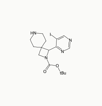 CC(C)(C)OC(=O)N1CC2(CCNCC2)C1c1ncncc1I